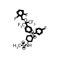 CS(=O)(=O)N[C@H]1CC[C@@](c2ccc(C(OCc3c(F)cccc3F)(C(F)(F)F)C(F)(F)F)cc2)(S(=O)(=O)c2ccc(F)cc2)CC1